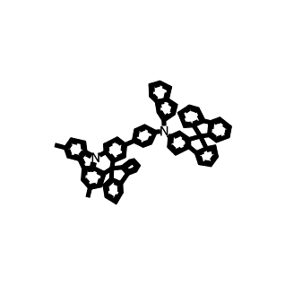 Cc1ccc2c(c1)c1cc(C)cc3c1n2-c1ccc(-c2ccc(N(c4ccc5c(c4)C4(c6ccccc6-c6ccccc64)c4ccccc4-5)c4ccc5ccccc5c4)cc2)cc1C31c2ccccc2-c2ccccc21